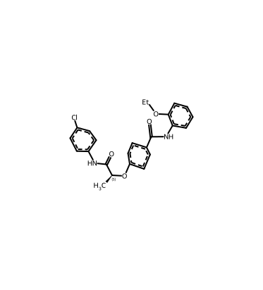 CCOc1ccccc1NC(=O)c1ccc(O[C@@H](C)C(=O)Nc2ccc(Cl)cc2)cc1